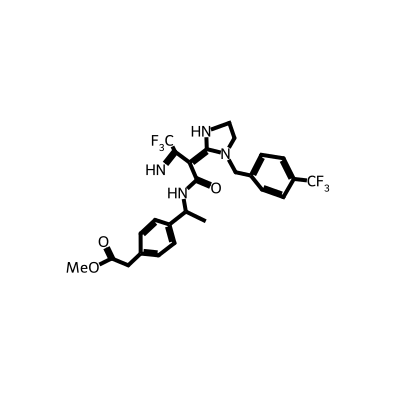 COC(=O)Cc1ccc(C(C)NC(=O)/C(C(=N)C(F)(F)F)=C2/NCCN2Cc2ccc(C(F)(F)F)cc2)cc1